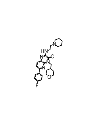 O=c1c(NCCN2CCCCC2)nc2ccc(-c3ccc(F)cc3)nc2n1CC1CCOCC1